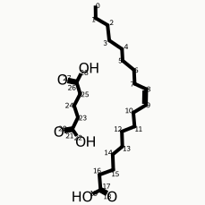 CCCCCCCC/C=C\CCCCCCCC(=O)O.O=C(O)CCCC(=O)O